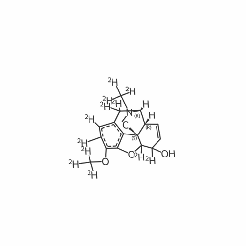 [2H]c1c([2H])c2c3c(c1OC([2H])([2H])[2H])OC1([2H])C([2H])(O)C=C[C@H]4[C@H](N(C([2H])([2H])[2H])CC[C@@]341)C2([2H])[2H]